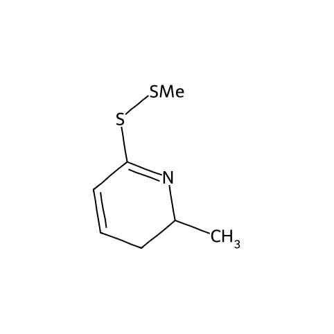 CSSC1=NC(C)CC=C1